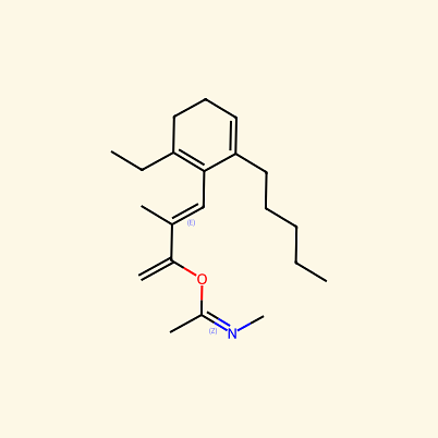 C=C(O/C(C)=N\C)/C(C)=C/C1=C(CC)CCC=C1CCCCC